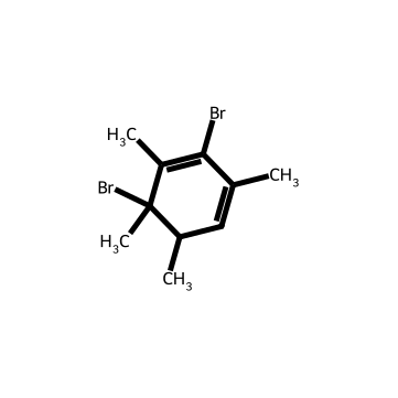 CC1=CC(C)C(C)(Br)C(C)=C1Br